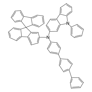 c1ccc(-c2ccc(-c3ccc(N(c4ccc5c(c4)C4(c6ccccc6-c6ccccc64)c4ccccc4-5)c4ccc5c6ccccc6n(-c6ccccc6)c5c4)cc3)cc2)cc1